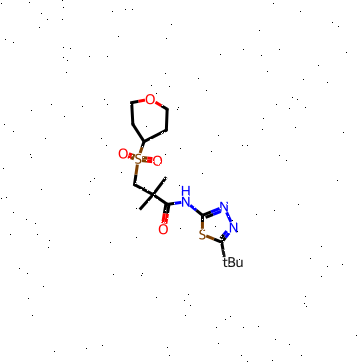 CC(C)(CS(=O)(=O)C1CCOCC1)C(=O)Nc1nnc(C(C)(C)C)s1